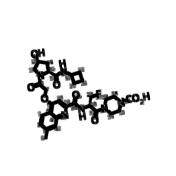 Cc1ccc2c(OCC(=O)N3C[C@@H](O)C[C@H]3C(=O)NC3CCC3)cc(C(=O)N[C@@H](CF)C(=O)N3CCN(C(=O)O)CC3)nc2c1